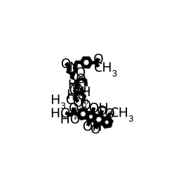 COc1cccc2c1C(=O)c1c(O)c3c(c(O)c1C2=O)C[C@@](O)(C(=O)CO)C[C@@H]3O[C@H]1C[C@H]2[C@H](O[C@@H]3C(SC4CC(=O)N(CC5CCC(C(C)=O)CC5)C4=O)OCCN32)[C@H](C)O1